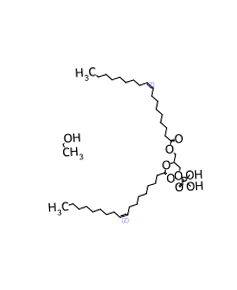 CCCCCCCC/C=C\CCCCCCCC(=O)OCC(COP(=O)(O)O)OC(=O)CCCCCCC/C=C\CCCCCCCC.CCO